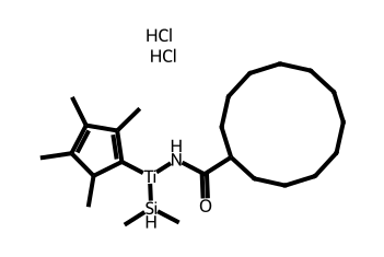 CC1=C(C)C(C)[C]([Ti]([NH]C(=O)C2CCCCCCCCCCC2)[SiH](C)C)=C1C.Cl.Cl